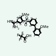 COc1ccccc1-c1cccc(S(=O)(=O)c2cc(C(=N)N)sc2SC)c1.O=C(O)C(F)(F)F